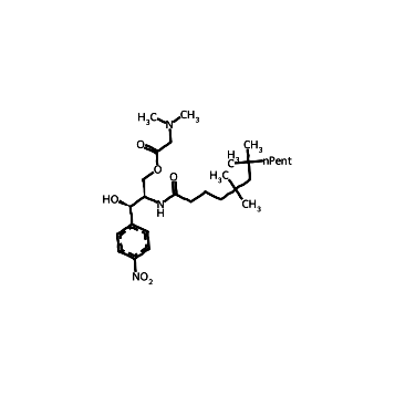 CCCCCC(C)(C)CC(C)(C)CCCC(=O)N[C@H](COC(=O)CN(C)C)[C@H](O)c1ccc([N+](=O)[O-])cc1